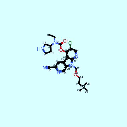 CCN(C(=O)Oc1c(Cl)cnc2c1c1cc(C#N)ncc1n2COCC[Si](C)(C)C)C1CCNC1